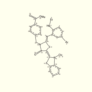 CCNc1ccc(C(C)=O)cc1N=C1SC(=C2Sc3ccccc3N2C)C(=O)N1Cc1ccc(C(=O)OC)cc1